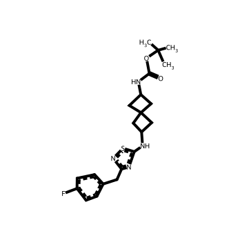 CC(C)(C)OC(=O)NC1CC2(C1)CC(Nc1nc(Cc3ccc(F)cc3)ns1)C2